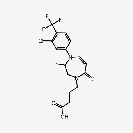 CC1CN(CCCC(=O)O)C(=O)C=CN1c1ccc(C(F)(F)F)c(Cl)c1